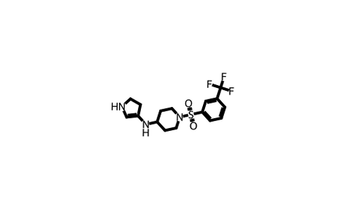 O=S(=O)(c1cccc(C(F)(F)F)c1)N1CCC(NC2=CNCC2)CC1